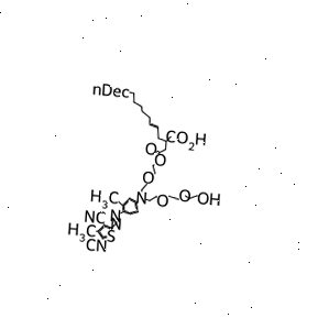 CCCCCCCCCCCCCCC/C=C/CC(CC(=O)OCCOCCN(CCOCCOCCO)c1ccc(/N=N/c2sc(C#N)c(C)c2C#N)c(C)c1)C(=O)O